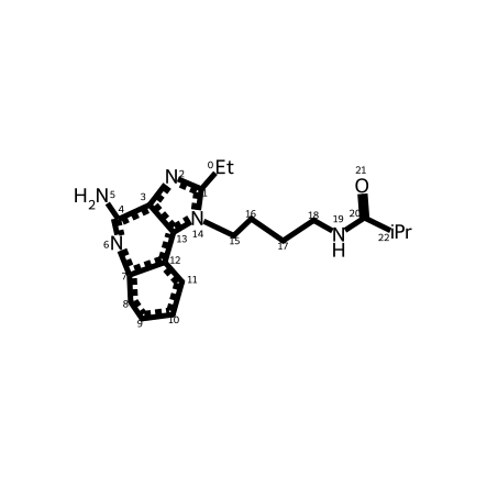 CCc1nc2c(N)nc3ccccc3c2n1CCCCNC(=O)C(C)C